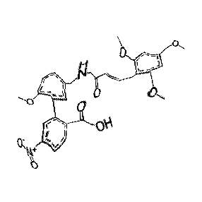 COc1cc(OC)c(C=CC(=O)Nc2ccc(OC)c(-c3cc([N+](=O)[O-])ccc3C(=O)O)c2)c(OC)c1